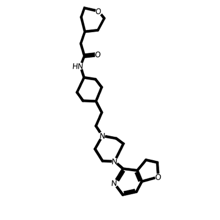 O=C(CC1CCOCC1)NC1CCC(CCN2CCN(c3nccc4c3CCO4)CC2)CC1